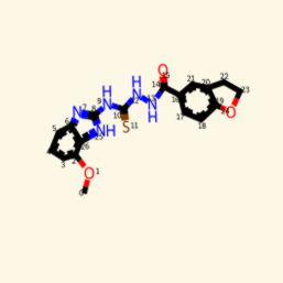 COc1cccc2nc(NC(=S)NNC(=O)c3ccc4c(c3)CCO4)[nH]c12